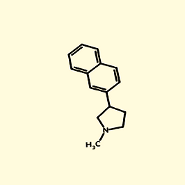 CN1CCC(c2ccc3ccccc3c2)C1